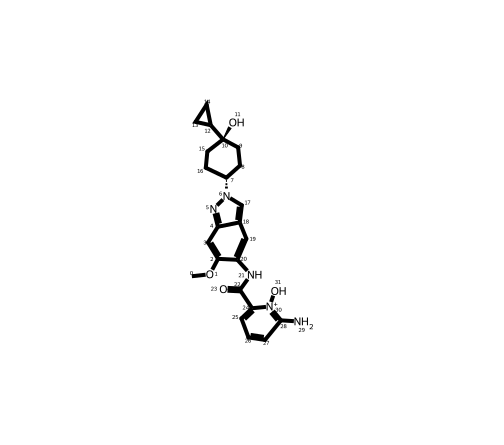 COc1cc2nn([C@H]3CC[C@@](O)(C4CC4)CC3)cc2cc1NC(=O)c1cccc(N)[n+]1O